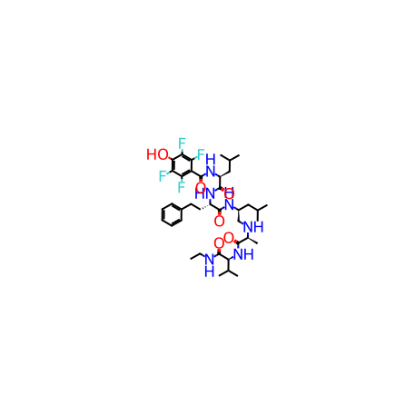 CCNC(=O)[C@@H](NC(=O)[C@H](C)NC[C@H](CC(C)C)NC(=O)[C@H](CCc1ccccc1)NC(=O)[C@H](CC(C)C)NC(=O)c1c(F)c(F)c(O)c(F)c1F)C(C)C